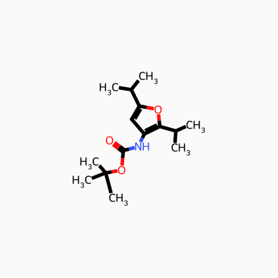 CC(C)c1cc(NC(=O)OC(C)(C)C)c(C(C)C)o1